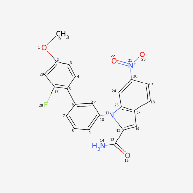 COc1ccc(-c2cccc(-n3c(C(N)=O)cc4ccc([N+](=O)[O-])cc43)c2)c(F)c1